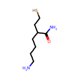 NCCCCC(CCS)C(N)=O